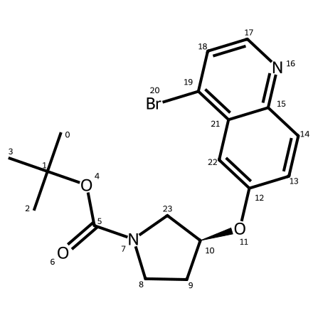 CC(C)(C)OC(=O)N1CC[C@H](Oc2ccc3nccc(Br)c3c2)C1